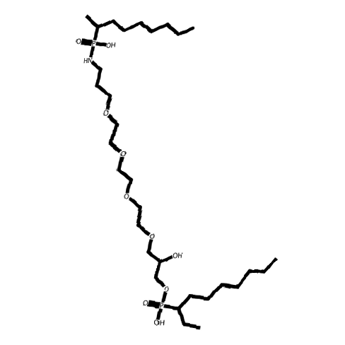 CCCCCCCC(C)P(=O)(O)NCCCOCCOCCOCCOCC(O)COP(=O)(O)C(CC)CCCCCCC